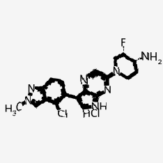 Cl.Cn1cc2c(Cl)c(-c3c[nH]c4nc(N5CC[C@@H](N)[C@@H](F)C5)cnc34)ccc2n1